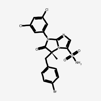 C[C@@]1(Cc2ccc(Br)cc2)C(=O)N(c2cc(Cl)cc(Cl)c2)c2ncc(S(N)(=O)=O)n21